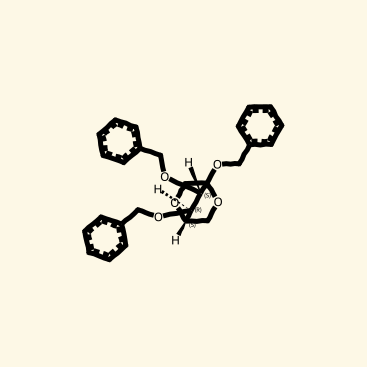 c1ccc(CO[C@@H]2[C@@H]3COC(OCc4ccccc4)(CO3)[C@H]2OCc2ccccc2)cc1